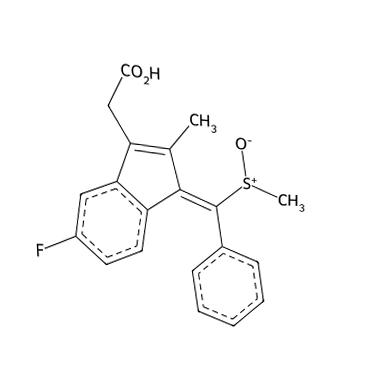 CC1=C(CC(=O)O)c2cc(F)ccc2C1=C(c1ccccc1)[S+](C)[O-]